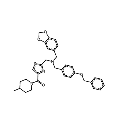 CC1CCN(C(=O)c2csc(CN(Cc3ccc(OCc4ccccc4)cc3)Cc3ccc4c(c3)OCO4)n2)CC1